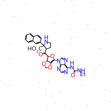 CCNC(=O)Nc1ncnc2c1ncn2C1=C2OCOC2C(C(=O)C2CCNC2(C(=O)O)c2ccc3ccccc3c2)O1